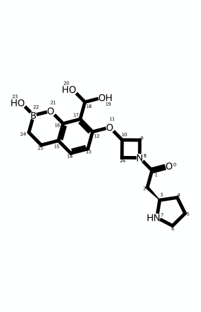 O=C(C[C@H]1CCCN1)N1CC(Oc2ccc3c(c2C(O)O)OB(O)CC3)C1